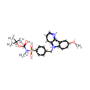 COc1ccc2c(c1)c1ncccc1n2Cc1ccc(S(=O)(=O)N(C)C(=O)OC(C)(C)C)cc1